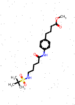 COC(=O)CCCc1ccc(NC(=O)CCCCNS(=O)(=O)C(C)(C)C)cc1